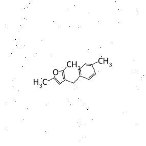 Cc1ccc(Cc2cc(C)oc2C)cc1